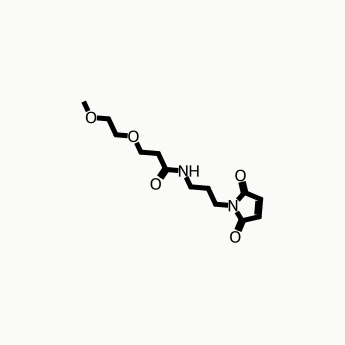 COCCOCCC(=O)NCCCN1C(=O)C=CC1=O